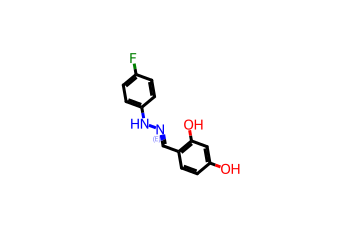 Oc1ccc(/C=N/Nc2ccc(F)cc2)c(O)c1